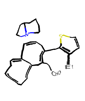 C1CN2CC12.CCc1ccsc1-c1ccc2ccccc2c1C=O